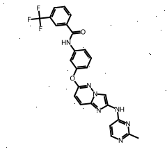 Cc1nccc(Nc2cn3nc(Oc4cccc(NC(=O)c5cccc(C(F)(F)F)c5)c4)ccc3n2)n1